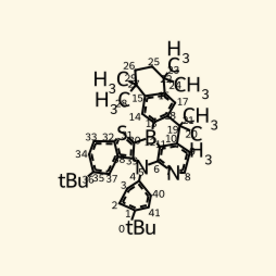 CC(C)(C)c1ccc(N2c3nccc4c3B(c3cc5c(cc3C4(C)C)C(C)(C)CCC5(C)C)c3sc4ccc(C(C)(C)C)cc4c32)cc1